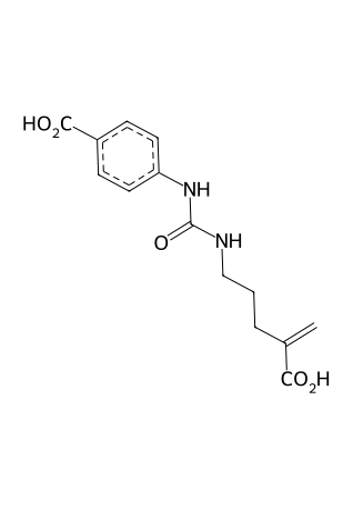 C=C(CCCNC(=O)Nc1ccc(C(=O)O)cc1)C(=O)O